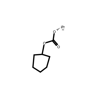 [CH2][C@@H](C)OC(=O)OC1CCCCC1